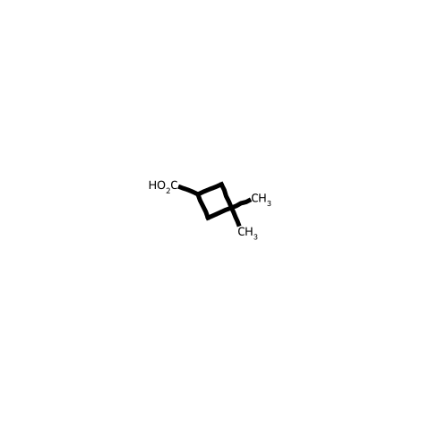 CC1(C)CC(C(=O)O)C1